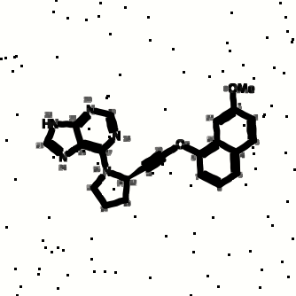 COc1ccc2cccc(OC#C[C@H]3CCCN3c3ncnc4[nH]cnc34)c2c1